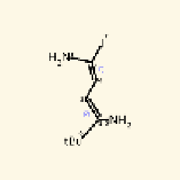 CC(C)(C)/C(N)=C/C=C(\N)I